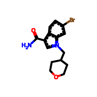 NC(=O)c1cn(CC2CCOCC2)c2cc(Br)ccc12